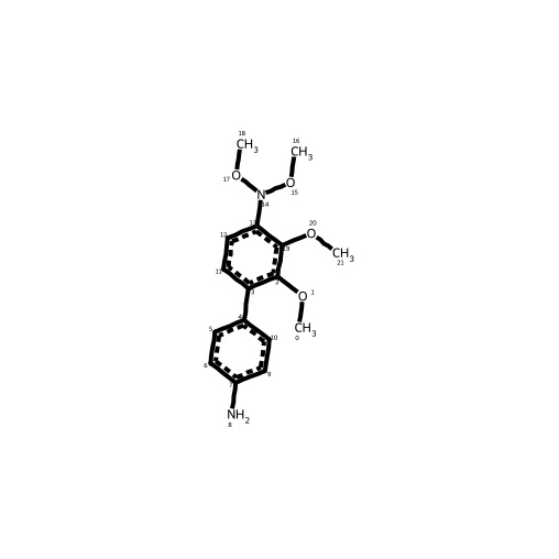 COc1c(-c2ccc(N)cc2)ccc(N(OC)OC)c1OC